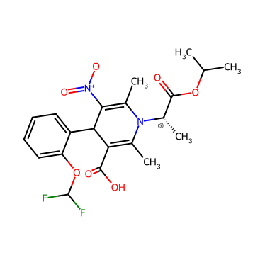 CC1=C(C(=O)O)C(c2ccccc2OC(F)F)C([N+](=O)[O-])=C(C)N1[C@@H](C)C(=O)OC(C)C